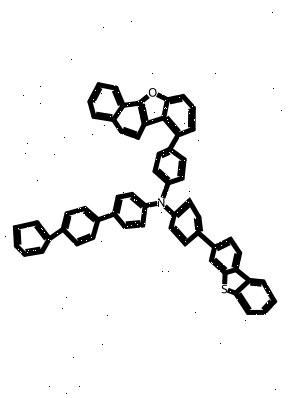 c1ccc(-c2ccc(-c3ccc(N(c4ccc(-c5ccc6c(c5)sc5ccccc56)cc4)c4ccc(-c5cccc6oc7c8ccccc8ccc7c56)cc4)cc3)cc2)cc1